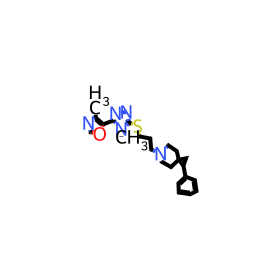 Cc1ncoc1-c1nnc(SCCCN2CCC3(CC2)CC3c2ccccc2)n1C